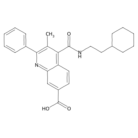 Cc1c(-c2ccccc2)nc2cc(C(=O)O)ccc2c1C(=O)NCCC1CCCCC1